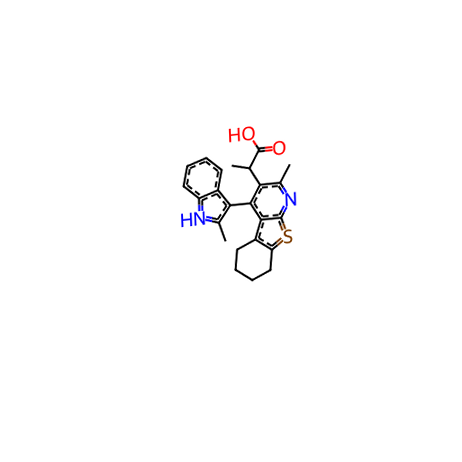 Cc1nc2sc3c(c2c(-c2c(C)[nH]c4ccccc24)c1C(C)C(=O)O)CCCC3